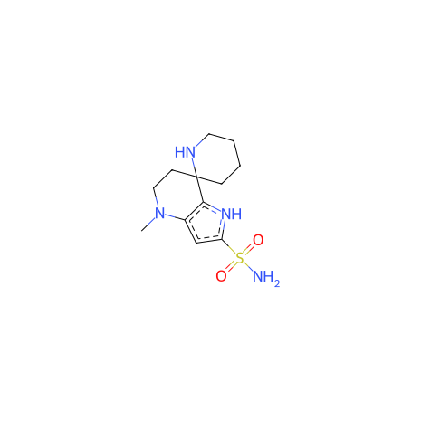 CN1CCC2(CCCCN2)c2[nH]c(S(N)(=O)=O)cc21